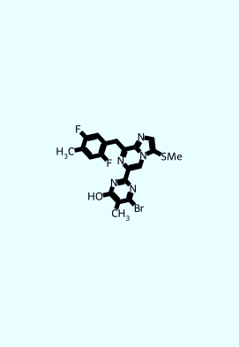 CSc1cnc2c(Cc3cc(F)c(C)cc3F)nc(-c3nc(O)c(C)c(Br)n3)cn12